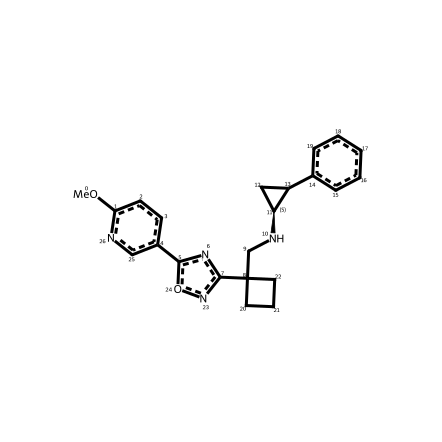 COc1ccc(-c2nc(C3(CN[C@H]4CC4c4ccccc4)CCC3)no2)cn1